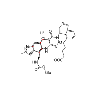 Cn1cc2c(CNC(=O)OC(C)(C)C)c(Nc3nc(=O)n(-c4cncc5cccc(CCCCC(=O)[O-])c45)c(=O)n3Cc3cc(F)c(F)c(F)c3)c(Cl)cc2n1.[Li+]